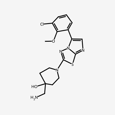 COc1c(Cl)cccc1-c1cnc2sc(N3CCC(O)(CN)CC3)nn12